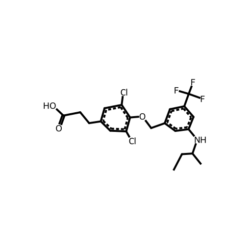 CCC(C)Nc1cc(COc2c(Cl)cc(CCC(=O)O)cc2Cl)cc(C(F)(F)F)c1